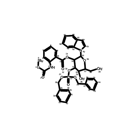 CC(C)(C)OC(=O)Nc1ccccc1C(=O)OC1C(OP(=O)(OCc2ccccc2)OCc2ccccc2)C(O)C(CO)OC1n1ccc2ccccc21